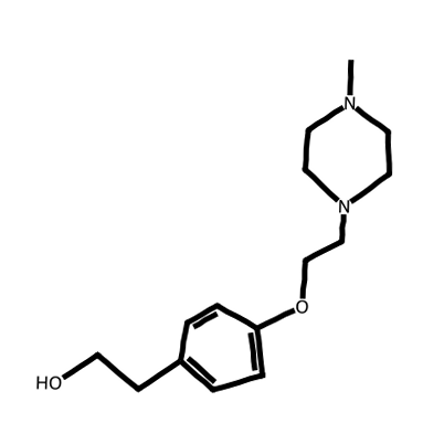 CN1CCN(CCOc2ccc(CCO)cc2)CC1